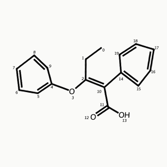 CCC(Oc1ccccc1)=C(C(=O)O)c1ccccc1